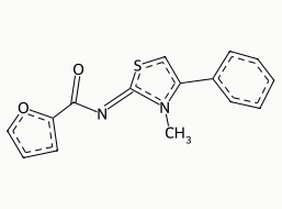 Cn1c(-c2ccccc2)csc1=NC(=O)c1ccco1